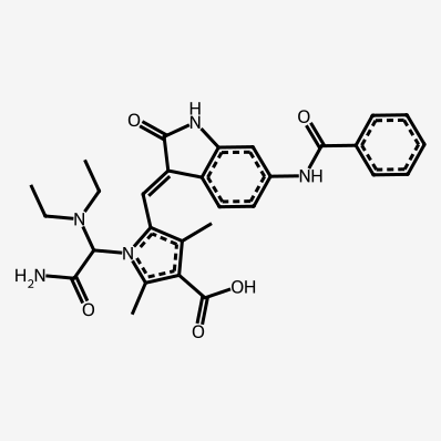 CCN(CC)C(C(N)=O)n1c(C)c(C(=O)O)c(C)c1C=C1C(=O)Nc2cc(NC(=O)c3ccccc3)ccc21